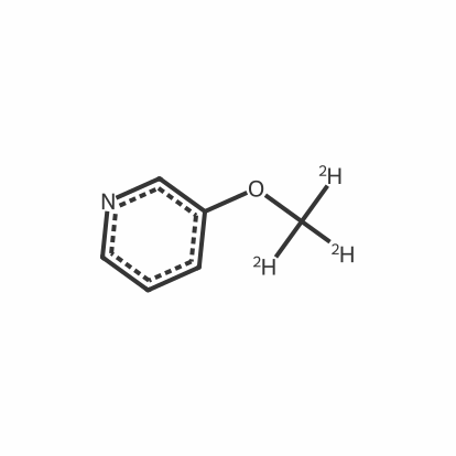 [2H]C([2H])([2H])Oc1cccnc1